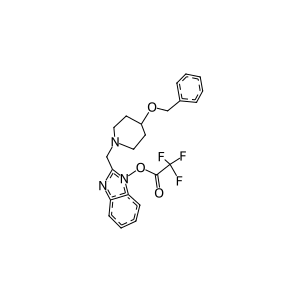 O=C(On1c(CN2CCC(OCc3ccccc3)CC2)nc2ccccc21)C(F)(F)F